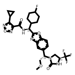 COC[C@H](c1ccc2oc([C@@H](NC(=O)c3nonc3C3CC3)C3CCC(F)CC3)nc2c1)N1C[C@@H](C(F)(F)F)NC1=O